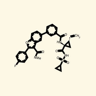 C=C[C@@H]1C[C@]1(NC(=O)c1cccc(-c2ccc3oc(-c4ccc(F)cc4)c(C(=O)NC)c3c2)c1)C(=O)NS(=O)(=O)C1CC1